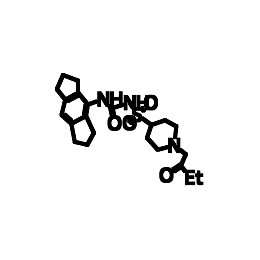 CCC(=O)CN1CCC(S(=O)(=O)NC(=O)Nc2c3c(cc4c2CCC4)CCC3)CC1